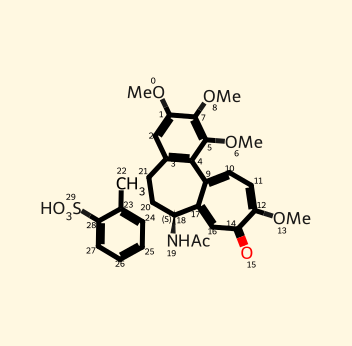 COc1cc2c(c(OC)c1OC)-c1ccc(OC)c(=O)cc1[C@@H](NC(C)=O)CC2.Cc1ccccc1S(=O)(=O)O